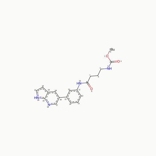 CC(C)(C)OC(=O)NCCCC(=O)Nc1cccc(-c2cnc3[nH]ccc3c2)c1